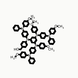 COc1ccc(N(c2ccccc2)c2ccc(N(c3ccc(CO)cc3)c3cc(N(c4ccc(OC)cc4)c4ccc(N(c5ccccc5)c5ccc(OC)cc5)cc4)cc(N(c4ccc(OC)cc4)c4ccc(N(c5ccccc5)c5ccc(OC)cc5)cc4)c3)cc2)cc1